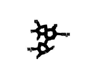 Nc1cc(-n2cc(C(=O)O)c(=O)c3cc(Cl)c(F)c(F)c32)c(F)cc1F